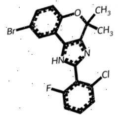 CC1(C)Oc2ccc(Br)cc2-c2[nH]c(-c3c(F)cccc3Cl)nc21